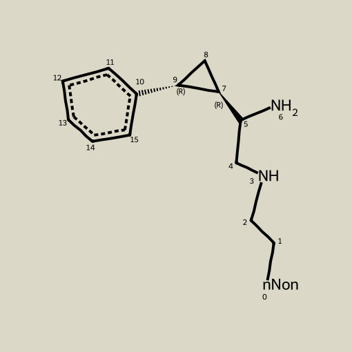 CCCCCCCCCCCNCC(N)[C@@H]1C[C@H]1c1ccccc1